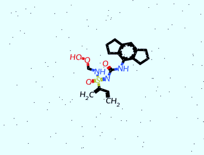 C=CC(=C)S(=O)(=NC(=O)Nc1c2c(cc3c1CCC3)CCC2)NCOO